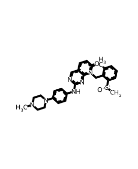 Cc1cccc([S+](C)[O-])c1Cn1c(=O)ccc2cnc(Nc3ccc(N4CCN(C)CC4)cc3)nc21